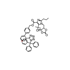 CCCc1nc(C(=O)OCc2ccc(-c3ccccc3-c3nnnn3C(c3ccccc3)(c3ccccc3)c3ccccc3)cc2)c(C(C)(C)O)n1CC1OC(=O)OC1C